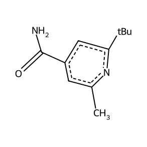 Cc1cc(C(N)=O)cc(C(C)(C)C)n1